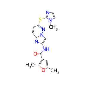 Cc1cc(C(=O)Nc2cn3nc(Sc4nccn4C)ccc3n2)c(C)o1